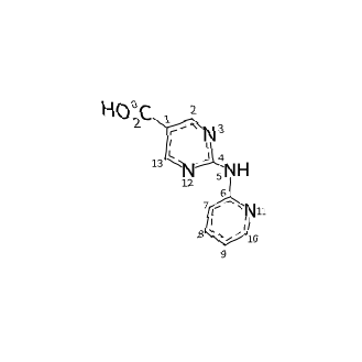 O=C(O)c1cnc(Nc2ccccn2)nc1